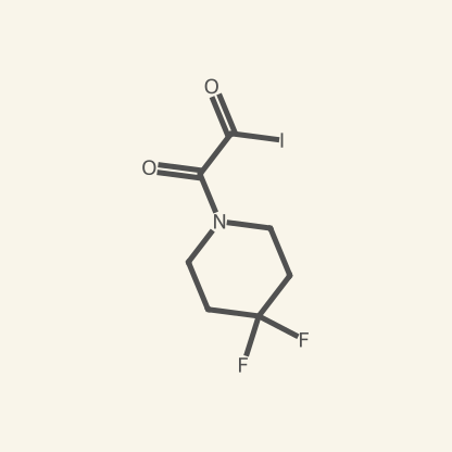 O=C(I)C(=O)N1CCC(F)(F)CC1